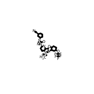 CCS(=O)(=O)c1ccc(-n2ncn(-c3cccc(C#N)c3)c2=O)nc1-c1nc2cc(OC(F)(F)C(F)(F)F)ccc2o1